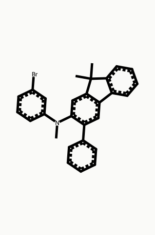 CN(c1cccc(Br)c1)c1cc2c(cc1-c1ccccc1)-c1ccccc1C2(C)C